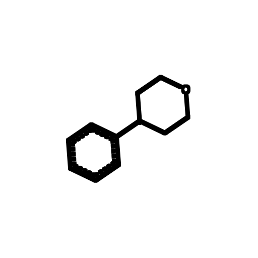 c1ccc([C]2CCOCC2)cc1